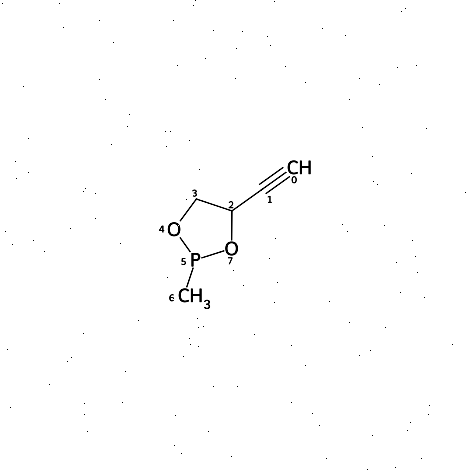 C#CC1COP(C)O1